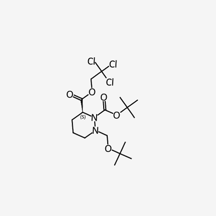 CC(C)(C)OCN1CCC[C@@H](C(=O)OCC(Cl)(Cl)Cl)N1C(=O)OC(C)(C)C